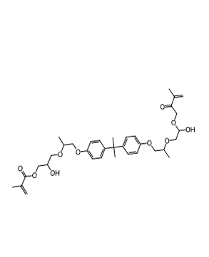 C=C(C)C(=O)COC(O)COC(C)COc1ccc(C(C)(C)c2ccc(OCC(C)OCC(O)COC(=O)C(=C)C)cc2)cc1